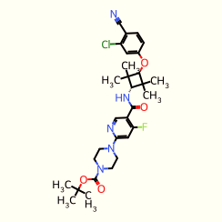 CC(C)(C)OC(=O)N1CCN(c2cc(F)c(C(=O)N[C@H]3C(C)(C)[C@H](Oc4ccc(C#N)c(Cl)c4)C3(C)C)cn2)CC1